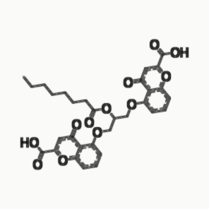 CCCCCCCC(=O)OC(COc1cccc2oc(C(=O)O)cc(=O)c12)COc1cccc2oc(C(=O)O)cc(=O)c12